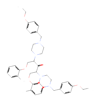 CCOc1ccc(CN2CCN(C(COc3ccccc3C)C(=O)C(COc3ccccc3C)N3CCN(Cc4ccc(OCC)cc4)CC3)CC2)cc1